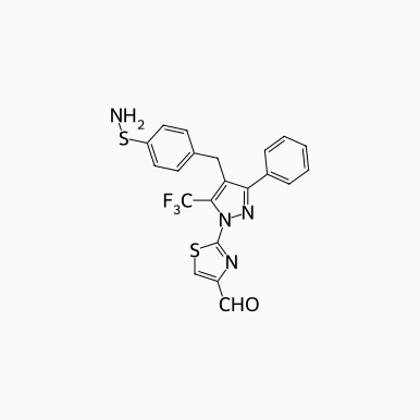 NSc1ccc(Cc2c(-c3ccccc3)nn(-c3nc(C=O)cs3)c2C(F)(F)F)cc1